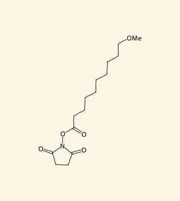 COCCCCCCCCCC(=O)ON1C(=O)CCC1=O